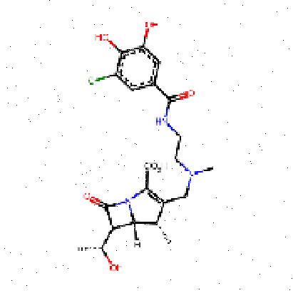 C[C@@H](O)[C@H]1C(=O)N2C(C(=O)O)=C(CN(C)CCNC(=O)c3cc(O)c(O)c(Cl)c3)[C@H](C)[C@H]12